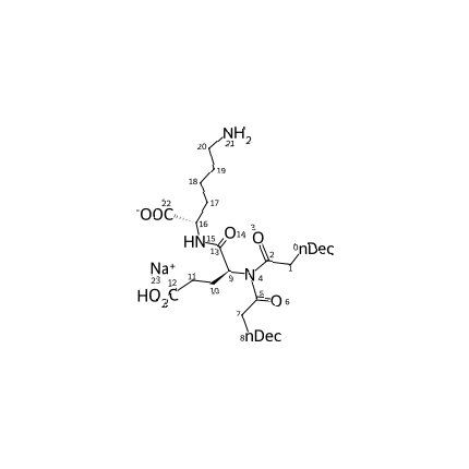 CCCCCCCCCCCC(=O)N(C(=O)CCCCCCCCCCC)[C@@H](CCC(=O)O)C(=O)N[C@@H](CCCCN)C(=O)[O-].[Na+]